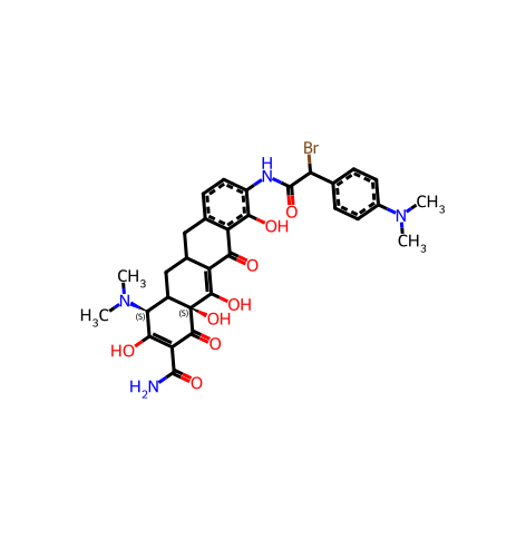 CN(C)c1ccc(C(Br)C(=O)Nc2ccc3c(c2O)C(=O)C2=C(O)[C@]4(O)C(=O)C(C(N)=O)=C(O)[C@@H](N(C)C)C4CC2C3)cc1